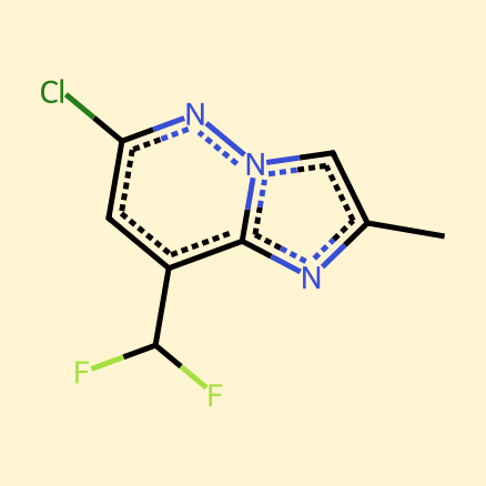 Cc1cn2nc(Cl)cc(C(F)F)c2n1